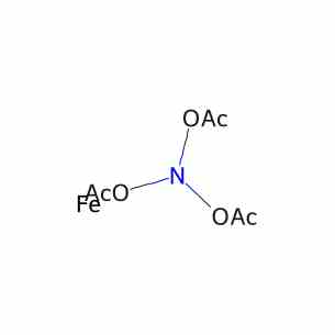 CC(=O)ON(OC(C)=O)OC(C)=O.[Fe]